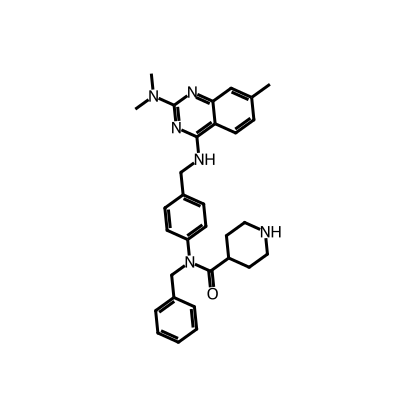 Cc1ccc2c(NCc3ccc(N(Cc4ccccc4)C(=O)C4CCNCC4)cc3)nc(N(C)C)nc2c1